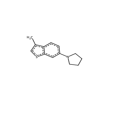 Cc1csc2cc(N3CCCC3)ccc12